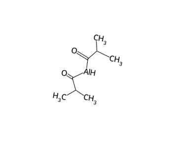 CC(C)[C](=O)[AlH][C](=O)C(C)C